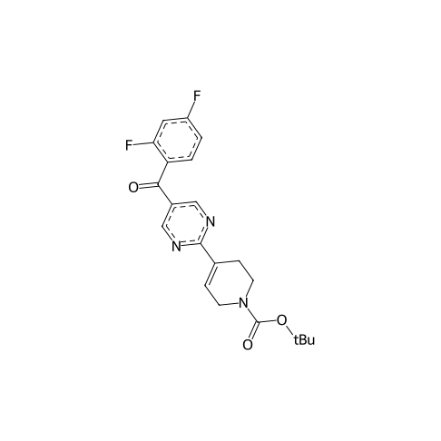 CC(C)(C)OC(=O)N1CC=C(c2ncc(C(=O)c3ccc(F)cc3F)cn2)CC1